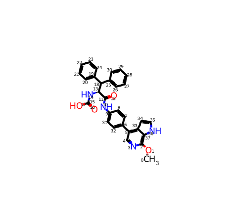 COc1ncc(-c2ccc(NC(=O)[C@@H](NC(=O)O)C(c3ccccc3)c3ccccc3)cc2)c2cc[nH]c12